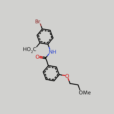 COCCOc1cccc(C(=O)Nc2ccc(Br)cc2C(=O)O)c1